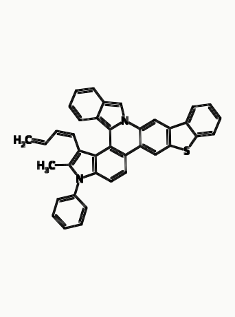 C=C/C=C\c1c(C)n(-c2ccccc2)c2ccc3c4cc5sc6ccccc6c5cc4n4cc5ccccc5c4c3c12